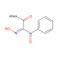 CCCCCCC(=O)/C(=N\O)C(=O)c1ccccc1